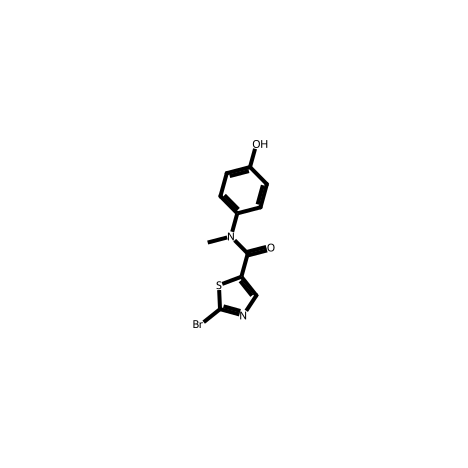 CN(C(=O)c1cnc(Br)s1)c1ccc(O)cc1